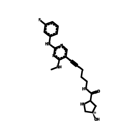 CNc1nc(Nc2cccc(F)c2)ncc1C#CCCCNC(=O)C1C[C@H](O)CN1